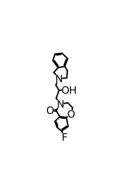 O=C1c2ccc(F)cc2OCCN1CC(O)CN1CCc2ccccc2C1